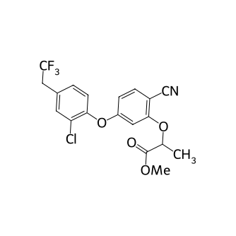 COC(=O)C(C)Oc1cc(Oc2ccc(CC(F)(F)F)cc2Cl)ccc1C#N